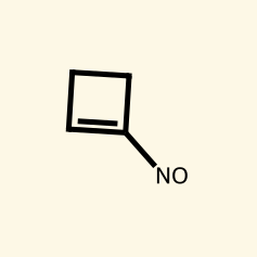 O=NC1=CCC1